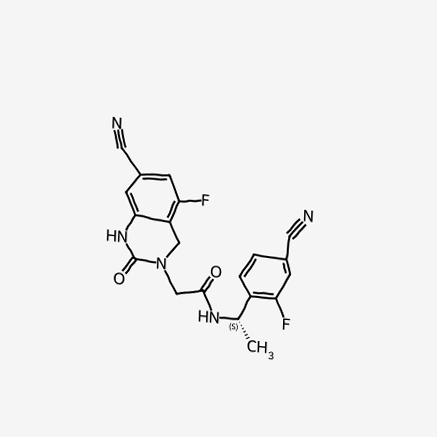 C[C@H](NC(=O)CN1Cc2c(F)cc(C#N)cc2NC1=O)c1ccc(C#N)cc1F